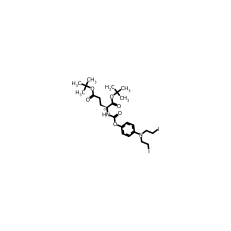 CC(C)(C)OC(=O)CC[C@H](NC(=O)Oc1ccc(N(CCI)CCI)cc1)C(=O)OC(C)(C)C